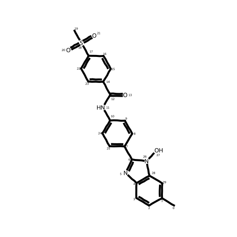 Cc1ccc2nc(-c3ccc(NC(=O)c4ccc(S(C)(=O)=O)cc4)cc3)n(O)c2c1